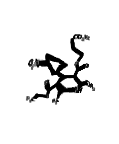 CCOC(=O)CCOC(=O)C1=C(C)NC(C)=C(C(=O)OCC(F)(F)F)C1c1cccc([N+](=O)[O-])c1